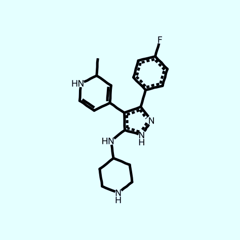 CC1C=C(c2c(-c3ccc(F)cc3)n[nH]c2NC2CCNCC2)C=CN1